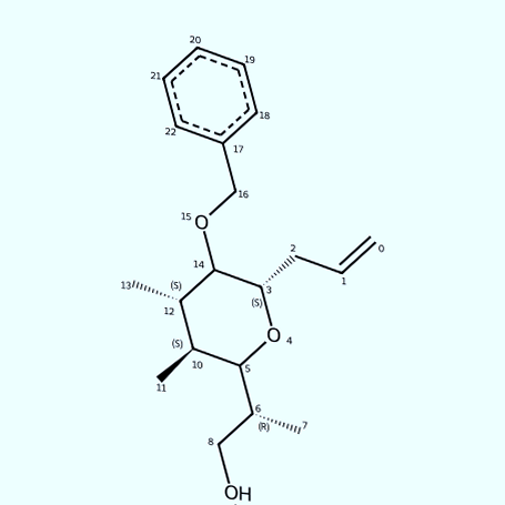 C=CC[C@@H]1OC([C@H](C)CO)[C@@H](C)[C@H](C)C1OCc1ccccc1